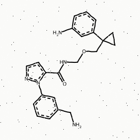 NCc1cccc(-n2nccc2C(=O)NCOCC2(c3cccc(N)c3)CC2)c1